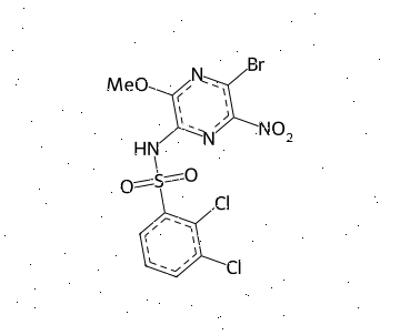 COc1nc(Br)c([N+](=O)[O-])nc1NS(=O)(=O)c1cccc(Cl)c1Cl